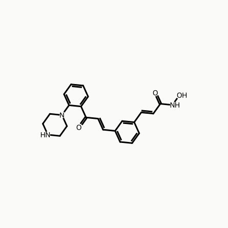 O=C(/C=C/c1cccc(/C=C/C(=O)c2ccccc2N2CCNCC2)c1)NO